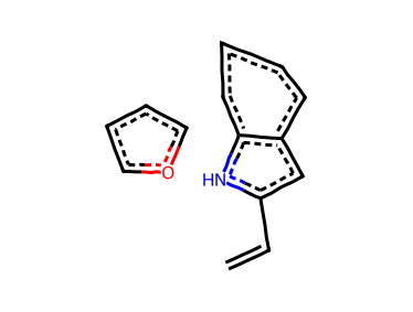 C=Cc1cc2ccccc2[nH]1.c1ccoc1